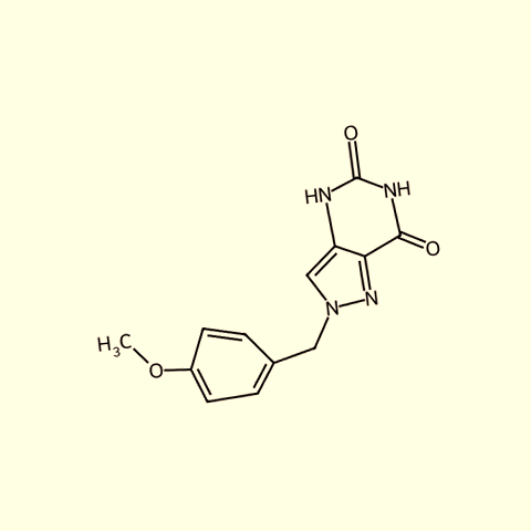 COc1ccc(Cn2cc3[nH]c(=O)[nH]c(=O)c3n2)cc1